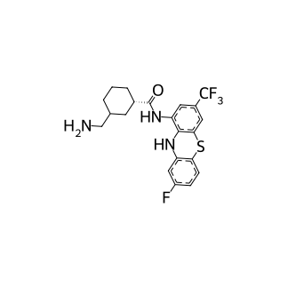 NCC1CCC[C@H](C(=O)Nc2cc(C(F)(F)F)cc3c2Nc2cc(F)ccc2S3)C1